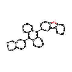 c1ccc2cc(-c3c4ccccc4c(-c4ccc5oc6ccccc6c5c4)c4ccccc34)ccc2c1